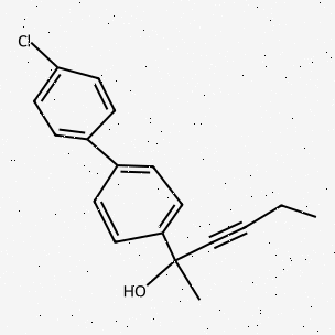 CCC#CC(C)(O)c1ccc(-c2ccc(Cl)cc2)cc1